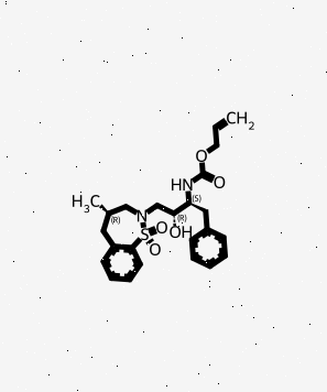 C=CCOC(=O)N[C@@H](Cc1ccccc1)[C@H](O)CN1C[C@H](C)Cc2ccccc2S1(=O)=O